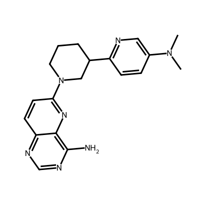 CN(C)c1ccc(C2CCCN(c3ccc4ncnc(N)c4n3)C2)nc1